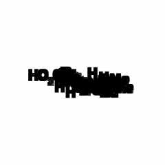 CCC(C)C(NC(=O)OC)C(=O)N1C[C@@H](COC)C[C@H]1c1nc(Br)c(-c2ccc3c(c2)COc2cc4c(ccc5nc([C@@H]6CC[C@H](C)N6C(=O)C(NC(=O)O)C(C)C)[nH]c54)cc2-3)[nH]1